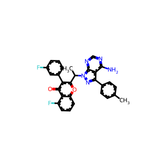 Cc1ccc(-c2nn(C(C)c3oc4cccc(F)c4c(=O)c3-c3cccc(F)c3)c3ncnc(N)c23)cc1